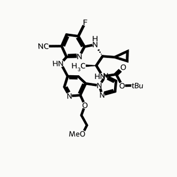 COCCOc1ncc(Nc2nc(N[C@H](C3CC3)[C@H](C)NC(=O)OC(C)(C)C)c(F)cc2C#N)cc1-n1nccn1